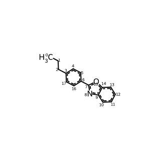 CCCc1ccc(-c2nc3ccccc3o2)cc1